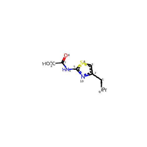 CC(C)Cc1csc(NC(=O)C(=O)O)n1